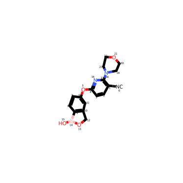 [C-]#[N+]c1ccc(Oc2ccc3c(c2)COB3O)nc1N1CCOCC1